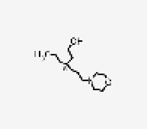 CCC[C@@H](CCO)CCCN1CCOCC1